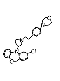 Clc1ccc2c(c1)N(C1CCN(CCc3ccc(N4CCOCC4)cc3)C1)c1ccccc1OC2